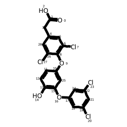 O=C(O)Cc1cc(Cl)c(Oc2ccc(O)c(Oc3cc(Cl)cc(Cl)c3)c2)c(Cl)c1